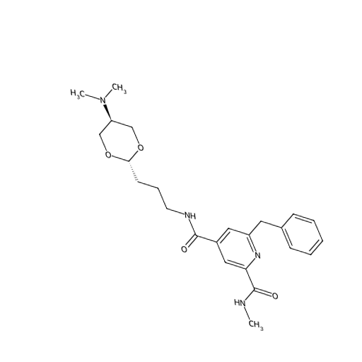 CNC(=O)c1cc(C(=O)NCCC[C@H]2OC[C@H](N(C)C)CO2)cc(Cc2ccccc2)n1